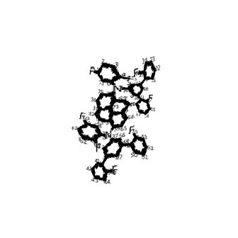 Fc1ccc(F)c(N(c2cc(-c3ccccc3F)cc(-c3ccccc3F)c2)c2ccc3ccc4c(N(c5cc(-c6ccccc6F)cc(-c6ccccc6F)c5)c5cc(F)ccc5F)ccc5ccc2c3c54)c1